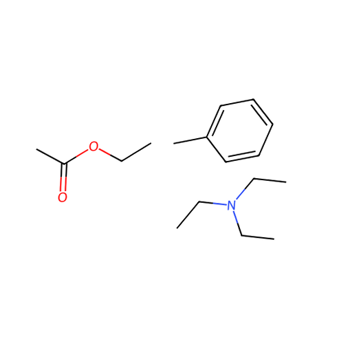 CCN(CC)CC.CCOC(C)=O.Cc1ccccc1